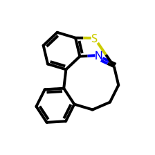 c1ccc2c(c1)CCCc1nc3c-2cccc3s1